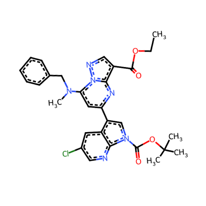 CCOC(=O)c1cnn2c(N(C)Cc3ccccc3)cc(-c3cn(C(=O)OC(C)(C)C)c4ncc(Cl)cc34)nc12